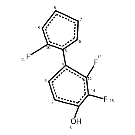 Oc1ccc(-c2ccccc2F)c(F)c1F